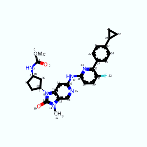 COC(=O)N[C@@H]1CC[C@@H](n2c(=O)n(C)c3cnc(Nc4ccc(F)c(-c5ccc(C6CC6)cc5)n4)cc32)C1